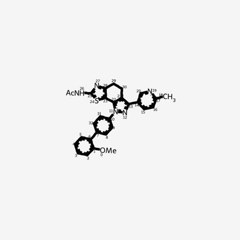 COc1ccccc1-c1ccc(-n2nc(-c3ccc(C)nc3)c3c2-c2sc(NC(C)=O)nc2CC3)cc1